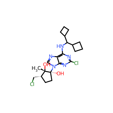 C[C@]1(O)[C@@H](CCl)CC[C@]1(O)n1cnc2c(NC(C3CCC3)C3CCC3)nc(Cl)nc21